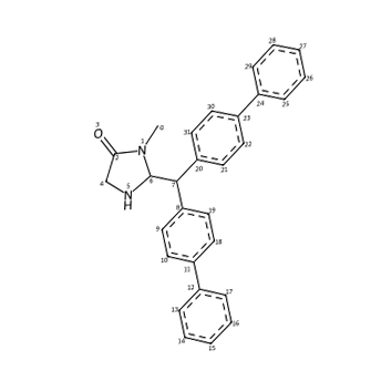 CN1C(=O)CNC1C(c1ccc(-c2ccccc2)cc1)c1ccc(-c2ccccc2)cc1